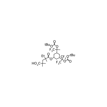 CCC(C)(CC(C)(C)C(=O)O)C(=O)OC1CC(C(C)(OC(=O)OC(C)(C)C)C(F)(F)F)CC(C(OC(=O)OC(C)(C)C)(C(F)(F)F)C(F)(F)F)C1